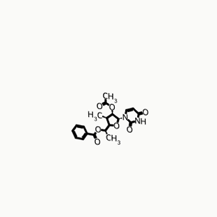 CC(=O)O[C@@H]1[C@H](C)C([C@@H](C)OC(=O)c2ccccc2)O[C@H]1n1ccc(=O)[nH]c1=O